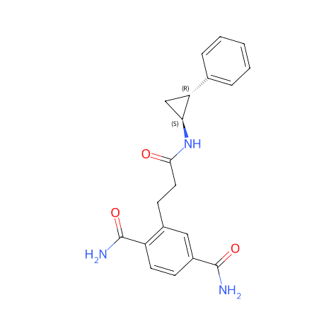 NC(=O)c1ccc(C(N)=O)c(CCC(=O)N[C@H]2C[C@@H]2c2ccccc2)c1